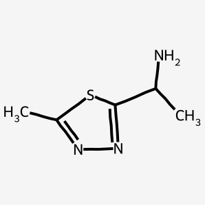 Cc1nnc(C(C)N)s1